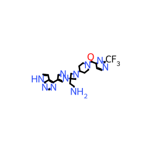 NCCC1(n2cc(-c3ncnc4[nH]ccc34)cn2)CN(C2CCN(C(=O)c3ccnc(C(F)(F)F)n3)CC2)C1